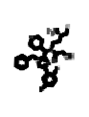 N[C@H](CF)CCN(C(=O)CO)[C@@H](c1nc(-c2cc(F)ccc2F)cn1Cc1ccccc1)C1CCOCC1